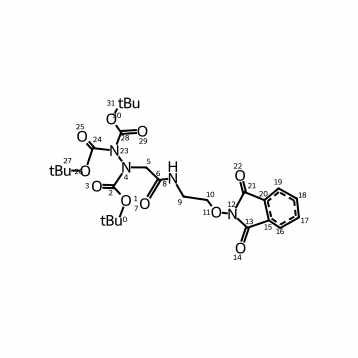 CC(C)(C)OC(=O)N(CC(=O)NCCON1C(=O)c2ccccc2C1=O)N(C(=O)OC(C)(C)C)C(=O)OC(C)(C)C